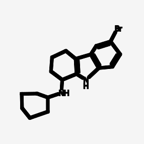 Brc1ccc2[nH]c3c(c2c1)CCCC3NC1CCCCC1